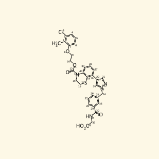 Cc1c(Cl)cccc1OCCOC(=O)N1CCSc2c(-c3cnn(Cc4cccc(C(=O)NCC(=O)O)c4)c3)cccc21